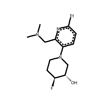 CCc1ccc(N2CC[C@H](F)[C@@H](O)C2)c(CN(C)C)n1